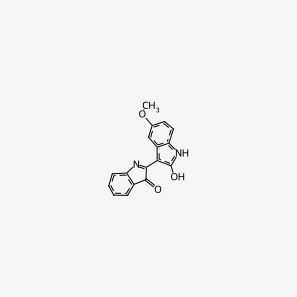 COc1ccc2[nH]c(O)c(C3=Nc4ccccc4C3=O)c2c1